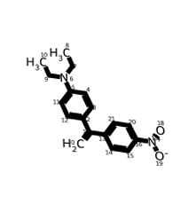 C=C(c1ccc(N(CC)CC)cc1)c1ccc([N+](=O)[O-])cc1